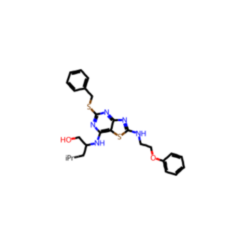 CC(C)CC(CO)Nc1nc(SCc2ccccc2)nc2nc(NCCOc3ccccc3)sc12